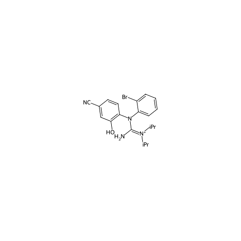 CC(C)[N+](=C(N)N(c1ccc(C#N)cc1O)c1ccccc1Br)C(C)C